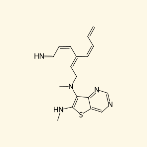 C=C\C=C/C(/C=C\C=N)=C\CN(C)c1c(NC)sc2cncnc12